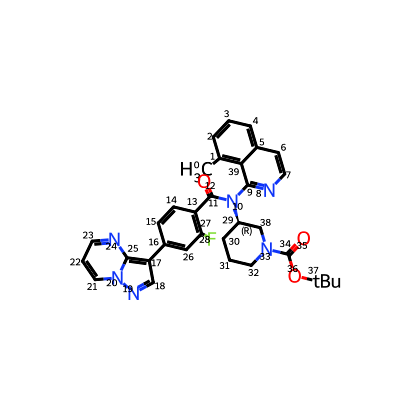 Cc1cccc2ccnc(N(C(=O)c3ccc(-c4cnn5cccnc45)cc3F)[C@@H]3CCCN(C(=O)OC(C)(C)C)C3)c12